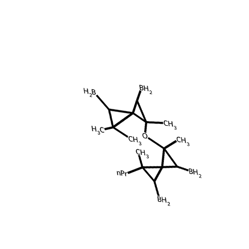 BC1C(C)(C)C12C(B)C2(C)OC1(C)C(B)C12C(B)C2(C)CCC